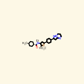 CCN(c1cc(-c2ccc(-c3cc4ncccn4n3)cc2)sc1C(=O)O)C(=O)[C@H]1CC[C@H](C)CC1